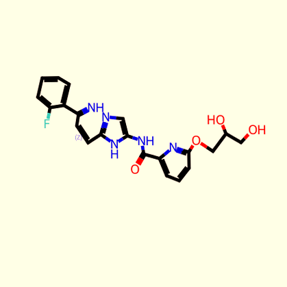 N=C(/C=C\c1ncc(NC(=O)c2cccc(OCC(O)CO)n2)[nH]1)c1ccccc1F